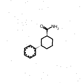 NC(=O)[C@H]1CCC[C@H](c2ccccc2)C1